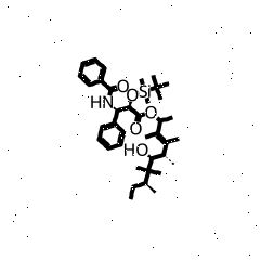 CC[C@H](C)C(C)(C)[C@@H](O)[C@@H](C)/C(C)=C(\C)C(C)OC(=O)[C@H](O[Si](C)(C)C(C)(C)C)[C@@H](NC(=O)c1ccccc1)c1ccccc1